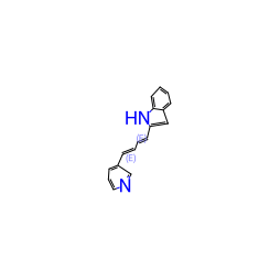 C(/C=C/c1cc2ccccc2[nH]1)=C\c1cccnc1